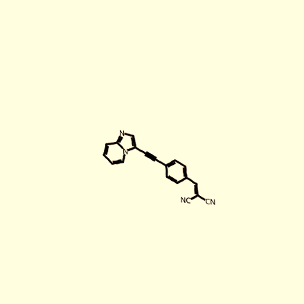 N#CC(C#N)=Cc1ccc(C#Cc2cnc3ccccn23)cc1